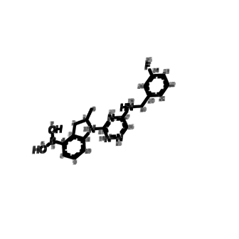 CC1Cc2c(B(O)O)cccc2N1c1nncc(NCc2cccc(F)c2)n1